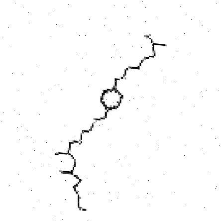 CCCCCCCCCCCCCC(=O)OC(C)COCCOCc1ccc(COCCOCC(C)O)cc1